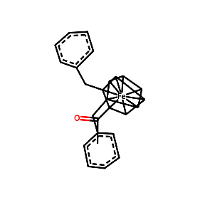 CC(=O)[C]12[CH]3[CH]4[CH]5[C]1(Cc1ccccc1)[Fe]45321678[CH]2[CH]1[CH]6[C]7(Cc1ccccc1)[CH]28